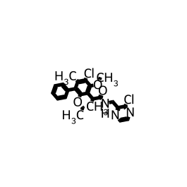 CCOc1c(-c2ccccc2)c(C)c(Cl)c(OC)c1C(C)C(=O)NCc1nccnc1Cl